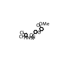 COC(=O)c1cccc(Oc2cccc(-c3nnc(Nc4ccc(Cl)c(Cl)c4)o3)c2)c1